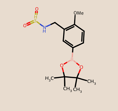 COc1ccc(B2OC(C)(C)C(C)(C)O2)cc1CN[SH](=O)=O